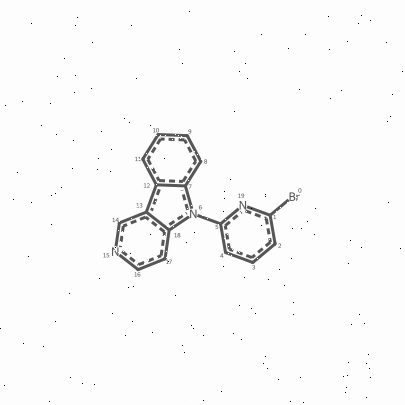 Brc1cccc(-n2c3ccccc3c3cnccc32)n1